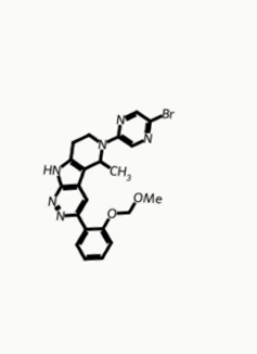 COCOc1ccccc1-c1cc2c3c([nH]c2nn1)CCN(c1cnc(Br)cn1)C3C